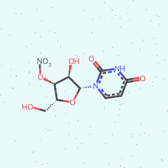 O=c1ccn([C@@H]2O[C@H](CO)[C@@H](O[N+](=O)[O-])[C@H]2O)c(=O)[nH]1